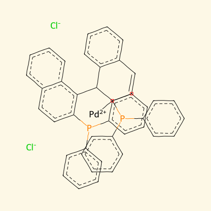 [Cl-].[Cl-].[Pd+2][C]1(P(c2ccccc2)c2ccccc2)C=Cc2ccccc2C1c1c(P(c2ccccc2)c2ccccc2)ccc2ccccc12